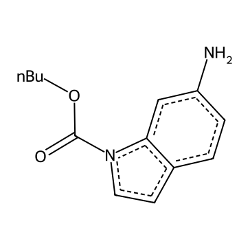 CCCCOC(=O)n1ccc2ccc(N)cc21